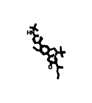 C=C(/C=C\C(=C/C)c1cc2c(cc1CC)-c1cc(=O)c(C(=C)CCC)cn1C(C(C)(C)C)C2)NC(C)(C)C